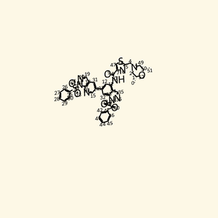 C[C@@H]1CN(Cc2nc(C(=O)Nc3cc(-c4cnc5c(cnn5S(=O)(=O)c5ccccc5)c4)cc4c3cnn4S(=O)(=O)c3ccccc3)cs2)C[C@H](C)O1